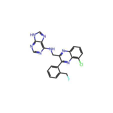 FCc1ccccc1-c1nc2c(Cl)cccc2nc1CNc1ncnc2[nH]cnc12